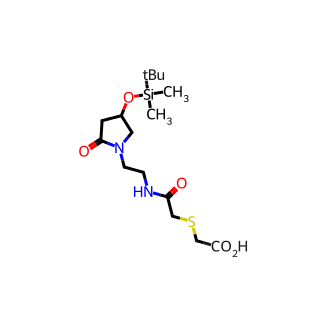 CC(C)(C)[Si](C)(C)OC1CC(=O)N(CCNC(=O)CSCC(=O)O)C1